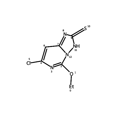 CCOc1nc(Cl)cc2nc(=S)[nH]n12